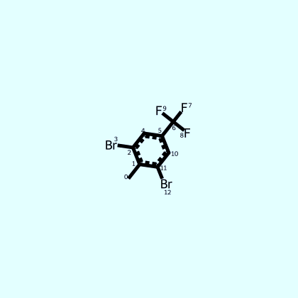 Cc1c(Br)cc(C(F)(F)F)cc1Br